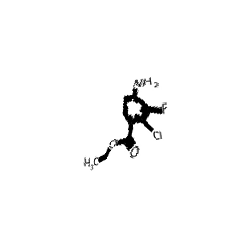 CCOC(=O)c1ccc(N)c(F)c1Cl